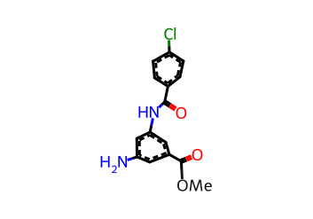 COC(=O)c1cc(N)cc(NC(=O)c2ccc(Cl)cc2)c1